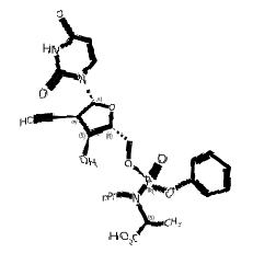 C#C[C@@H]1[C@H](O)[C@@H](CO[P@@](=O)(Oc2ccccc2)N(CCC)[C@@H](C)C(=O)O)O[C@H]1n1ccc(=O)[nH]c1=O